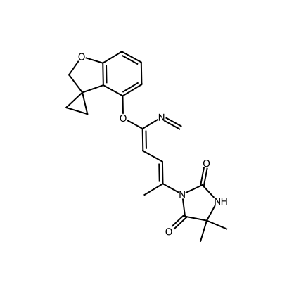 C=N/C(=C\C=C(/C)N1C(=O)NC(C)(C)C1=O)Oc1cccc2c1C1(CC1)CO2